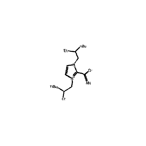 CCCCC(CC)Cn1cc[n+](CC(CC)CCCC)c1C(=N)[O-]